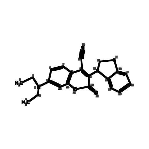 CCN(CC)c1ccc2c(C#N)c(N3CSc4ccccc43)c(=O)oc2c1